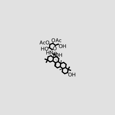 CC(=O)O[C@@H]1C(CO)O[C@H](NC(=O)[C@]23CCC(C)(C)CC2C2=CCC4[C@@]5(C)CC[C@H](O)C(C)(C)C5CC[C@@]4(C)[C@]2(C)C[C@H]3O)C(O)[C@@H]1OC(C)=O